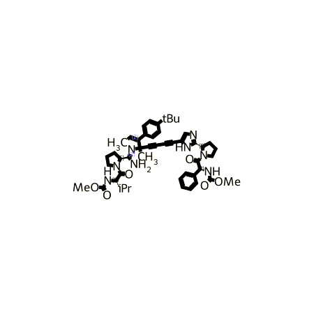 C/C=C(/c1ccc(C(C)(C)C)cc1)C(C)(C#CC#Cc1cnc([C@@H]2CCCN2C(=O)[C@H](NC(=O)OC)c2ccccc2)[nH]1)/N=C(\N)[C@@H]1CCCN1C(=O)[C@@H](NC(=O)OC)C(C)C